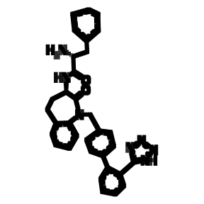 N[C@H](Cc1ccccc1)C(=O)N[C@@H]1CCc2ccccc2N(Cc2ccc(-c3ccccc3-c3nnn[nH]3)cc2)C1=O